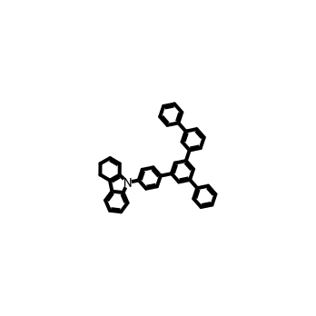 C1=Cc2c(c3ccccc3n2-c2ccc(-c3cc(-c4ccccc4)cc(-c4cccc(-c5ccccc5)c4)c3)cc2)CC1